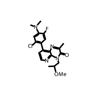 COC(C)Cn1c(=O)c(C)nc2c(-c3cc(F)c(N(C)C)cc3Cl)ccnc21